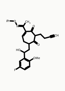 C#CCCC1C(=O)C(/C(C)=N/OC(C)C)=CCC(CC(O)c2cc(F)ccc2OC)C1=O